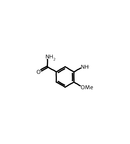 COc1ccc(C(N)=O)cc1[NH]